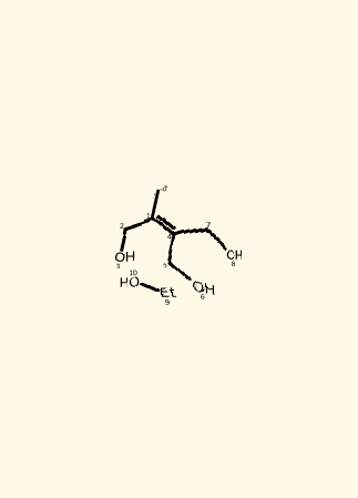 CC(CO)=C(CO)CO.CCO